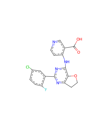 O=C(O)c1cnccc1Nc1nc(-c2cc(Cl)ccc2F)nc2c1OCC2